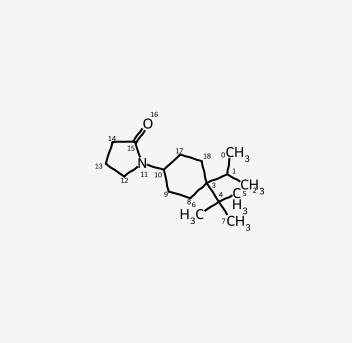 CC(C)C1(C(C)(C)C)CCC(N2CCCC2=O)CC1